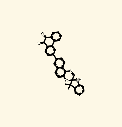 CC1(C)c2ccccc2NC12C=Nc1c(ccc3cc(-c4ccc5c(c4)-c4ccccc4C(=O)C5=O)ccc13)O2